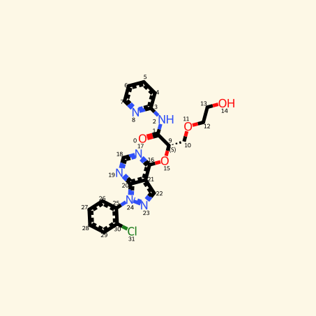 O=C(Nc1ccccn1)[C@H](COCCO)Oc1ncnc2c1cnn2-c1ccccc1Cl